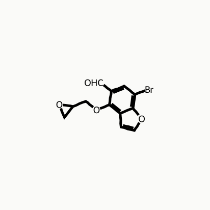 O=Cc1cc(Br)c2occc2c1OCC1CO1